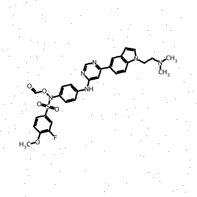 COc1ccc(S(=O)(=O)N(OC=O)c2ccc(Nc3cc(-c4ccc5c(ccn5CCN(C)C)c4)ncn3)cc2)cc1F